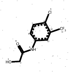 O=C(CO)Nc1ccc(Cl)c(C(F)(F)F)c1